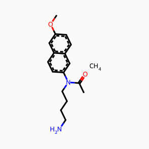 C.COc1ccc2cc(N(CCCCN)C(C)=O)ccc2c1